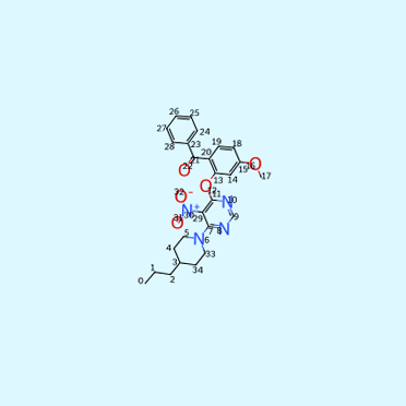 CCCC1CCN(c2ncnc(Oc3cc(OC)ccc3C(=O)c3ccccc3)c2[N+](=O)[O-])CC1